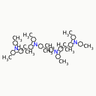 Cc1ccc(-n2c3ccc(C)cc3c3cc(C(C)(C)c4ccc5c(c4)c4cc(C)ccc4n5-c4ccc(C(C)(C)c5ccc(-n6c7ccc(C)cc7c7cc(C(C)(C)c8ccc9c%10cc(C)ccc%10n(-c%10ccc(C)cc%10)c9c8)ccc76)cc5)cc4)ccc32)cc1